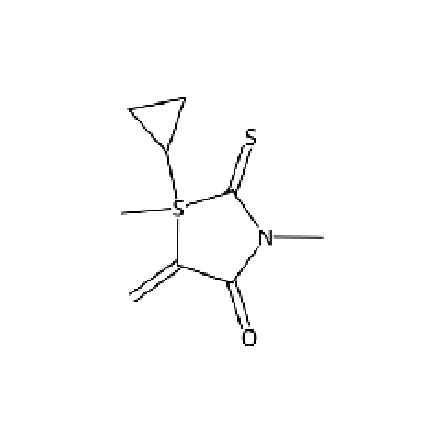 C=C1C(=O)N(C)C(=S)S1(C)C1CC1